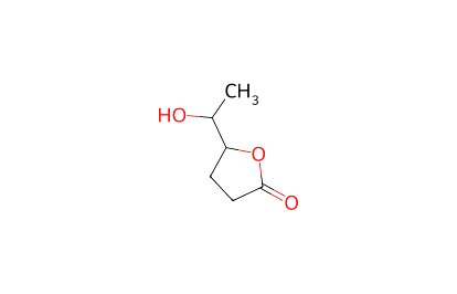 CC(O)C1CCC(=O)O1